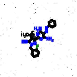 CC(C)=C1C(=N)N(Cc2ccccc2F)N=C1c1nc(N)c(/N=N/c2ccccc2)c(N)n1